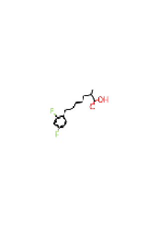 CC(C/C=C/CCc1ccc(F)cc1F)C(=O)O